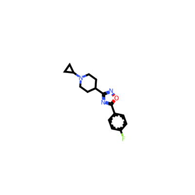 Fc1ccc(-c2nc(C3CCN(C4CC4)CC3)no2)cc1